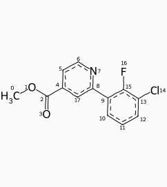 COC(=O)c1ccnc(-c2cccc(Cl)c2F)c1